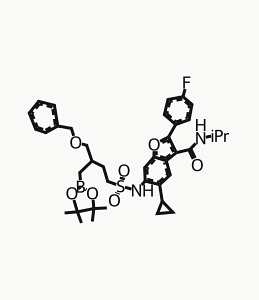 CC(C)NC(=O)c1c(-c2ccc(F)cc2)oc2cc(NS(=O)(=O)CCC(COCc3ccccc3)CB3OC(C)(C)C(C)(C)O3)c(C3CC3)cc12